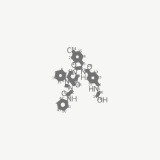 O=C(CN1CN(c2ccccc2)C2(CCN(C(=O)[C@@H](Cc3ccc(Cl)cc3)NC(=O)c3ccc(CNCCO)cc3)CC2)C1=O)NC1CCCCC1